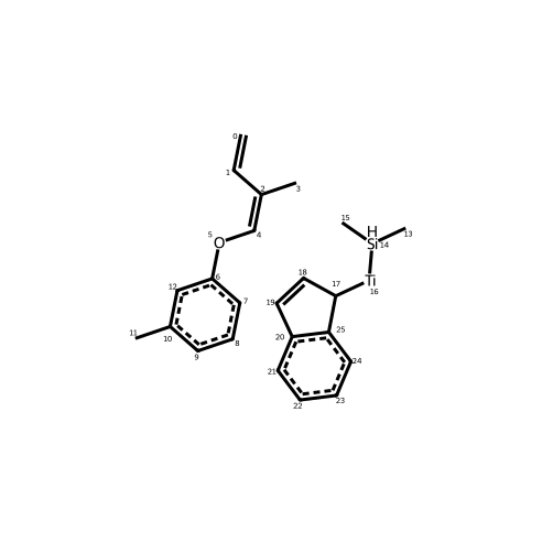 C=CC(C)=COc1cccc(C)c1.C[SiH](C)[Ti][CH]1C=Cc2ccccc21